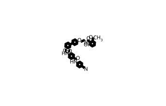 CC(=O)c1ccccc1C(=O)N(O)CCOc1ccc(-c2cccc(S(=O)(=O)Nc3ccc(C(=O)Nc4ccc(C#N)cc4)cc3)c2)cc1